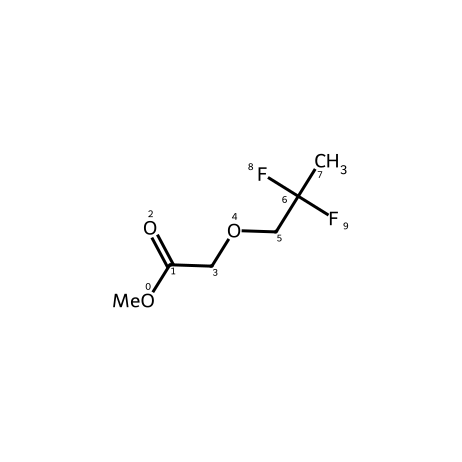 COC(=O)COCC(C)(F)F